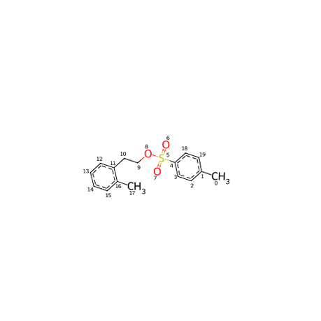 Cc1ccc(S(=O)(=O)OCCc2ccccc2C)cc1